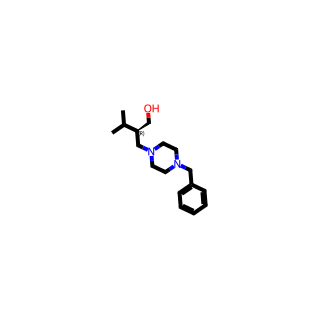 CC(C)[C@@H](CO)CN1CCN(Cc2ccccc2)CC1